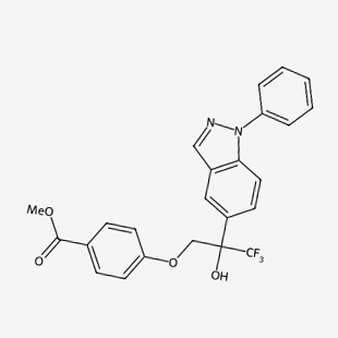 COC(=O)c1ccc(OCC(O)(c2ccc3c(cnn3-c3ccccc3)c2)C(F)(F)F)cc1